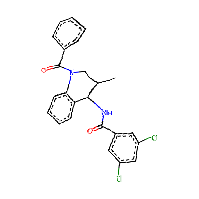 CC1CN(C(=O)c2ccccc2)c2ccccc2C1NC(=O)c1cc(Cl)cc(Cl)c1